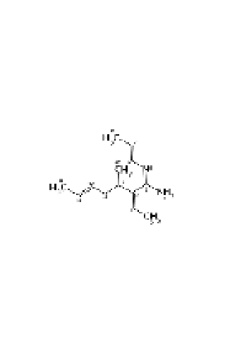 C\C=C(/C(N)=N\C=C\C)C(C)C/C=C/C